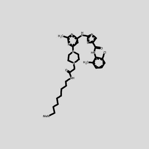 CNCCCCCCCCNC(=O)CN1CCN(c2cc(Nc3ncc(C(=O)Nc4c(C)cccc4Cl)s3)nc(C)n2)CC1